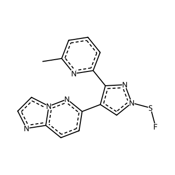 Cc1cccc(-c2nn(SF)cc2-c2ccc3nccn3n2)n1